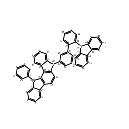 c1ccc(-n2c3ccccc3c3ccc4c(c5ccccc5n4-c4cccc(-c5ccccc5-n5c6ccccc6c6ccccc65)c4)c32)cc1